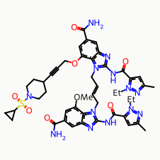 CCn1nc(C)cc1C(=O)Nc1nc2cc(C(N)=O)cc(OC)c2n1CC=CCn1c(NC(=O)c2cc(C)nn2CC)nc2cc(C(N)=O)cc(OCC#CC3CCN(S(=O)(=O)C4CC4)CC3)c21